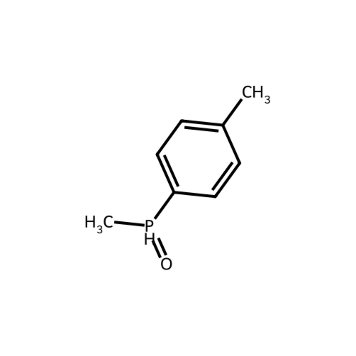 Cc1ccc([PH](C)=O)cc1